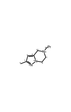 Cc1cc2n(n1)CCN(C(C)C)C2